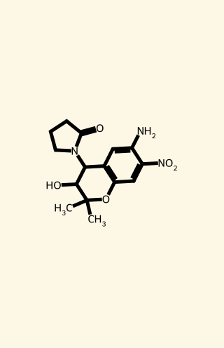 CC1(C)Oc2cc([N+](=O)[O-])c(N)cc2C(N2CCCC2=O)C1O